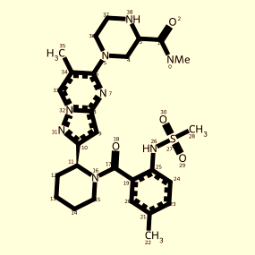 CNC(=O)C1CN(c2nc3cc([C@@H]4CCCCN4C(=O)c4cc(C)ccc4NS(C)(=O)=O)nn3cc2C)CCN1